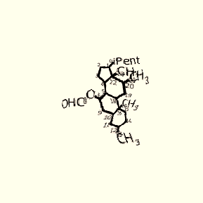 CCCC(C)C1CCC2C3C(OC=O)CC4CC(C)CCC4(C)C3CC(C)C12C